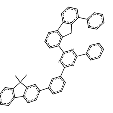 CC1(C)c2ccccc2-c2ccc(-c3cccc(-c4nc(-c5ccccc5)nc(-c5cccc6c5Cc5c(-c7ccccc7)cccc5-6)n4)c3)cc21